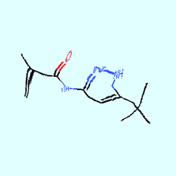 C=C(C)C(=O)Nc1cc(C(C)(C)C)[nH]n1